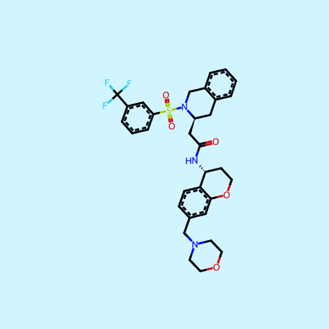 O=C(C[C@@H]1Cc2ccccc2CN1S(=O)(=O)c1cccc(C(F)(F)F)c1)N[C@@H]1CCOc2cc(CN3CCOCC3)ccc21